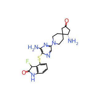 Nc1nc(N2CCC3(CC2)CC(=O)C[C@@H]3N)cnc1Sc1cccc2c1C(F)C(=O)N2